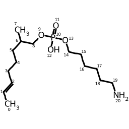 CC=CCCCC(C)COP(=O)(O)OCCCCCCN